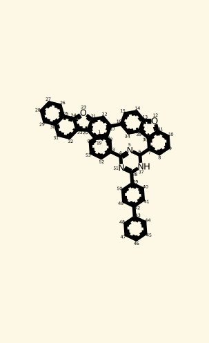 c1ccc(C2=NC(c3cccc4oc5ccc(-c6ccc7c(c6)oc6c8ccccc8ccc76)cc5c34)NC(c3ccc(-c4ccccc4)cc3)=N2)cc1